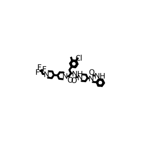 Cc1cc(CC(NC(=O)N2CCC(N3Cc4ccccc4NC3=O)CC2)C(=O)N2CCC(C3CCN(CC(F)(F)F)CC3)CC2)ccc1Cl